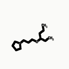 CCCC(CC)OCCCN1CCCC1